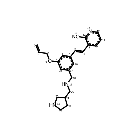 C=CCOc1cc(/C=C/c2cccnc2C#N)cc(CNCC2CCNC2)c1